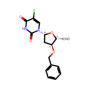 O=C[C@H]1O[C@@H](n2cc(F)c(=O)[nH]c2=O)C[C@@H]1OCc1ccccc1